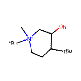 CC(C)(C)C1CC[N+](C)(C(C)(C)C)CC1O